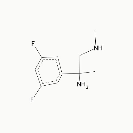 CNCC(C)(N)c1cc(F)cc(F)c1